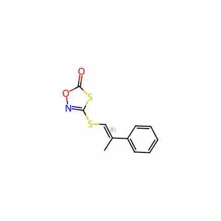 C/C(=C\Sc1noc(=O)s1)c1ccccc1